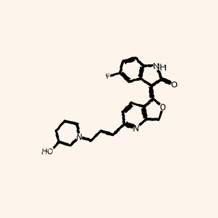 O=C1Nc2ccc(F)cc2/C1=C1/OCc2nc(CCCN3CCCC(O)C3)ccc21